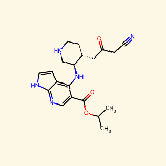 CC(C)OC(=O)c1cnc2[nH]ccc2c1N[C@H]1CNCC[C@@H]1CC(=O)CC#N